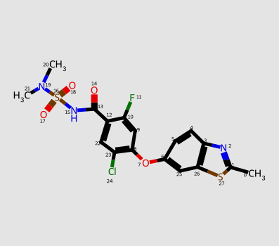 Cc1nc2ccc(Oc3cc(F)c(C(=O)NS(=O)(=O)N(C)C)cc3Cl)cc2s1